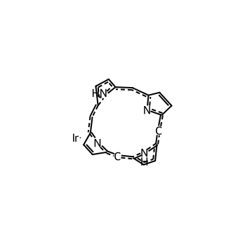 C1=Cc2cc3ccc(cc4nc(cc5ccc(cc1n2)[nH]5)C=C4)[nH]3.[Ir]